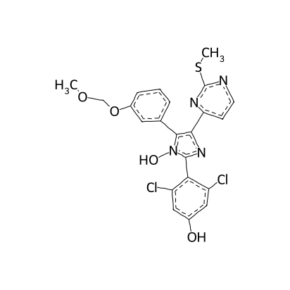 COCOc1cccc(-c2c(-c3ccnc(SC)n3)nc(-c3c(Cl)cc(O)cc3Cl)n2O)c1